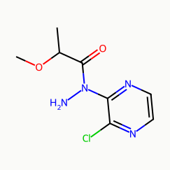 COC(C)C(=O)N(N)c1nccnc1Cl